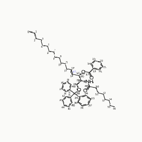 CCCCCCCCCCCCC/C=C/[C@@H](OC(=O)c1ccccc1)[C@H](COC(c1ccccc1)(c1ccccc1)c1ccccc1)NC(=O)CCCCCCC